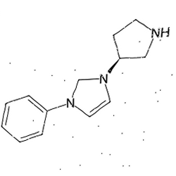 C1=CN([C@H]2CCNC2)CN1c1ccccc1